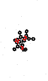 c1ccc(-c2cc(-c3ccccc3)c(N3c4cc(N5C6CC7CCC5C(C7)C6)ccc4B4c5ccc(-n6c7ccc(-c8ccccc8)cc7c7cc(-c8ccccc8)ccc76)cc5N(c5c(-c6ccccc6)cc(-c6ccccc6)cc5-c5ccccc5)c5cc(-c6ccccc6)cc3c54)c(-c3ccccc3)c2)cc1